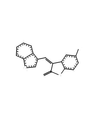 O=C1Nc2ccc(O)cc2C1=Cc1c[nH]c2ccccc12